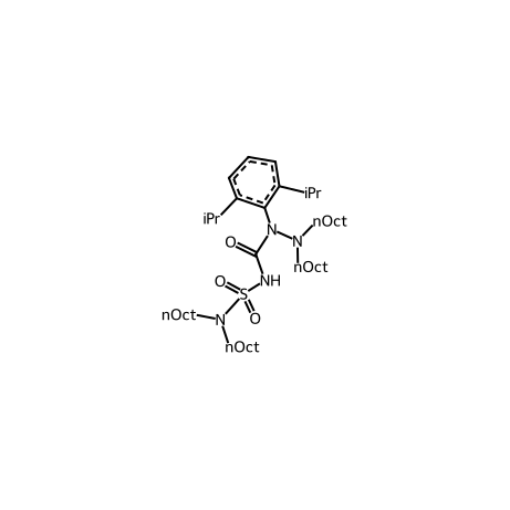 CCCCCCCCN(CCCCCCCC)N(C(=O)NS(=O)(=O)N(CCCCCCCC)CCCCCCCC)c1c(C(C)C)cccc1C(C)C